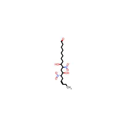 CC/C=C\CC(C(O)CC(C(O)CCCCCCC[C]=O)[N+](=O)[O-])[N+](=O)[O-]